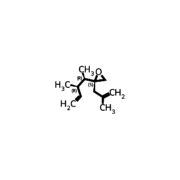 C=C[C@@H](C)[C@@H](C)[C@@]1(CC(=C)C)CO1